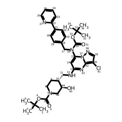 CC(C)(C)OC(=O)N1CC[C@H](CNc2cc(N(Cc3ccc(-c4ccccn4)cc3)C(=O)OC(C)(C)C)n3ncc(Cl)c3n2)[C@@H](O)C1